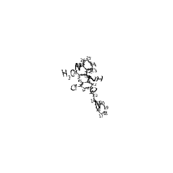 Cc1cc(Nc2cc(Cl)cc(OCCCN3CCCCC3)c2)c2ccccc2n1